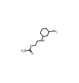 NC(=O)OCCNC1CCCC(N)C1